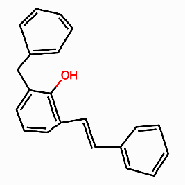 Oc1c(C=Cc2ccccc2)cccc1Cc1ccccc1